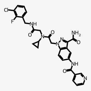 NC(=O)c1nn(CC(=O)N(CC(=O)NCc2cccc(Cl)c2F)C2CC2)c2ccc(NC(=O)c3cccnc3)cc12